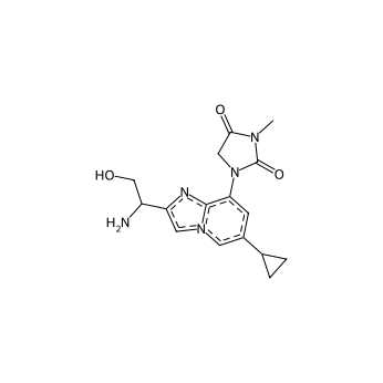 CN1C(=O)CN(c2cc(C3CC3)cn3cc(C(N)CO)nc23)C1=O